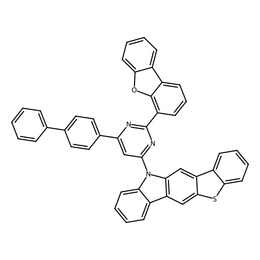 c1ccc(-c2ccc(-c3cc(-n4c5ccccc5c5cc6sc7ccccc7c6cc54)nc(-c4cccc5c4oc4ccccc45)n3)cc2)cc1